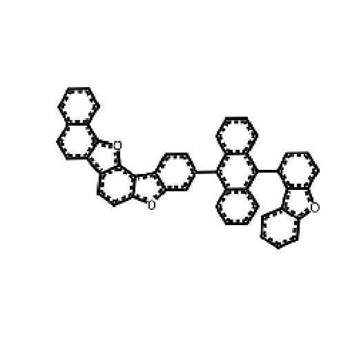 c1ccc2c(c1)ccc1c3ccc4oc5cc(-c6c7ccccc7c(-c7cccc8oc9ccccc9c78)c7ccccc67)ccc5c4c3oc21